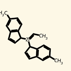 C[CH]=[Zr]([CH]1C=Cc2cc(C)ccc21)[CH]1C=Cc2cc(C)ccc21